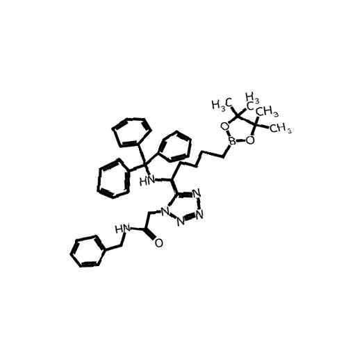 CC1(C)OB(CCCCC(NC(c2ccccc2)(c2ccccc2)c2ccccc2)c2nnnn2CC(=O)NCc2ccccc2)OC1(C)C